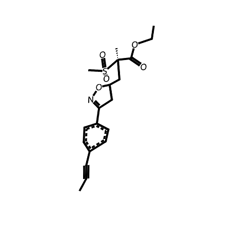 CC#Cc1ccc(C2=NOC(C[C@](C)(C(=O)OCC)S(C)(=O)=O)C2)cc1